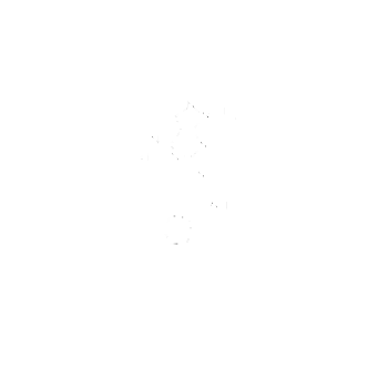 Cn1ncc2c(NC(C)(C)C)nc(NC[C@H](N)c3ccc(F)c(F)c3)nc21